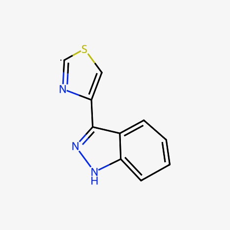 [c]1nc(-c2n[nH]c3ccccc23)cs1